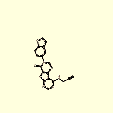 C#CCNc1ncnc2sc3c(=O)n(-c4ccc5occc5c4)cnc3c12